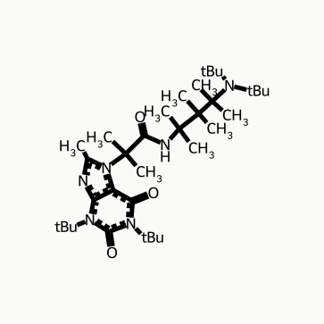 Cc1nc2c(c(=O)n(C(C)(C)C)c(=O)n2C(C)(C)C)n1C(C)(C)C(=O)NC(C)(C)C(C)(C)C(C)(C)N(C(C)(C)C)C(C)(C)C